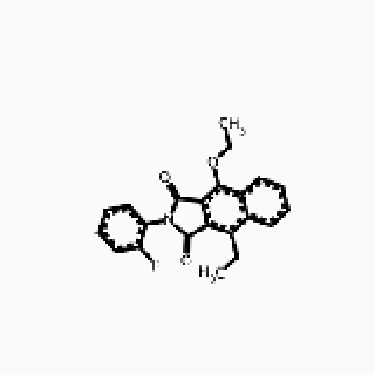 CCOc1c2c(c(CC)c3ccccc13)C(=O)N(c1cc[c]cc1F)C2=O